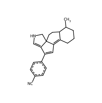 CC1CCCC2=C3C=C(c4ccc(C#N)cc4)C4=CNCC43CCC21